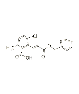 Cc1ccc(Cl)c(C=CC(=O)OCc2ccccc2)c1C(=O)O